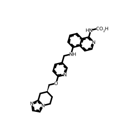 O=C(O)Nc1nccc2c(NCc3ccc(OC[C@H]4CCn5ccnc5C4)nc3)cccc12